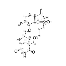 CC(NS(=O)(=O)CCCOCn1ccc(=O)[nH]c1=O)c1ccc(F)c(OCC(F)F)c1